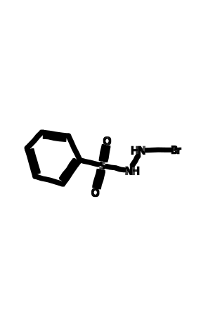 O=S(=O)(NNBr)c1ccccc1